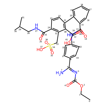 CCOC(=O)N=C(N)c1ccc(NC(=O)c2ccccc2-c2ccc(C(=O)NCC(C)C)c(CS(=O)(=O)O)c2C(=O)O)cc1